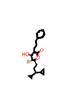 O=c1oc(CCC(C2CC2)C2CC2)c(Br)c(O)c1CCCc1ccccc1